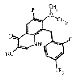 CN(C)c1c(F)cc2c(=O)c(C#N)c[nH]c2c1Cc1ccc(C(F)(F)F)cc1F